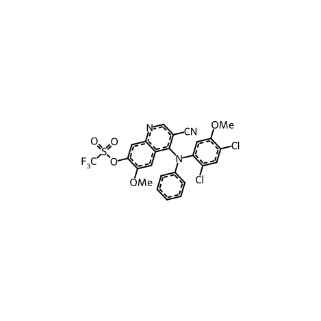 COc1cc(N(c2ccccc2)c2c(C#N)cnc3cc(OS(=O)(=O)C(F)(F)F)c(OC)cc23)c(Cl)cc1Cl